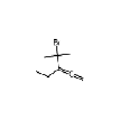 C=C=C(CC)C(C)(C)Br